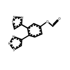 O=COc1ccc(-c2csnn2)c(-c2csnn2)c1